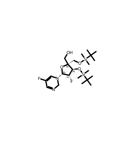 CC(C)(C)[Si](C)(C)OC[C@@]1(CO)O[C@@H](N2C=C(F)C=NC2)[C@@H](F)[C@@H]1O[Si](C)(C)C(C)(C)C